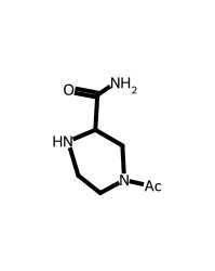 CC(=O)N1CCNC(C(N)=O)C1